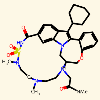 CNC(=O)CN1CCN(C)CCN(C)S(=O)(=O)NC(=O)c2ccc3c(C4CCCCC4)c4n(c3c2)C[C@@H]1COc1ccccc1-4